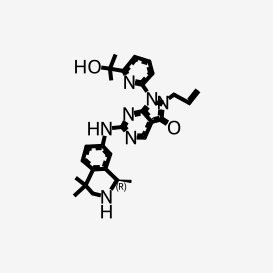 C=CCn1c(=O)c2cnc(Nc3ccc4c(c3)[C@@H](C)NCC4(C)C)nc2n1-c1cccc(C(C)(C)O)n1